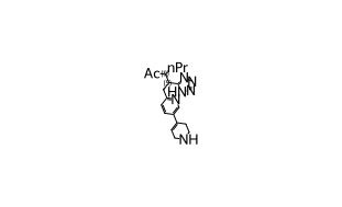 CCC[C@H](C(C)=O)[C@H](Cc1ccc(C2=CCNCC2)cn1)c1nnn[nH]1